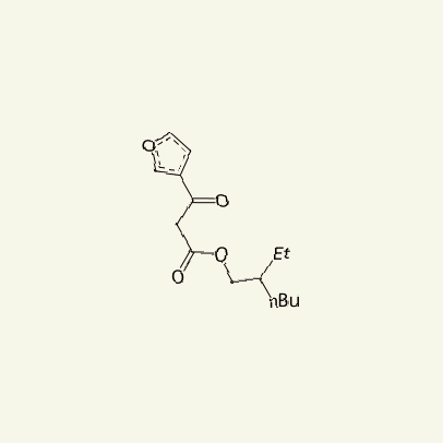 CCCCC(CC)COC(=O)CC(=O)c1ccoc1